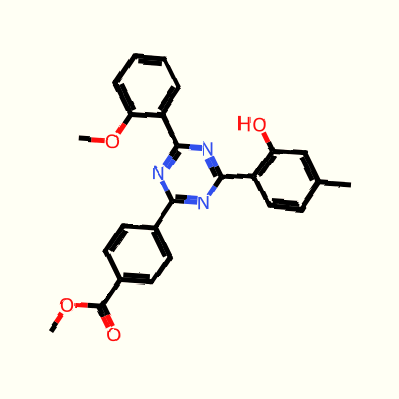 COC(=O)c1ccc(-c2nc(-c3ccc(C)cc3O)nc(-c3ccccc3OC)n2)cc1